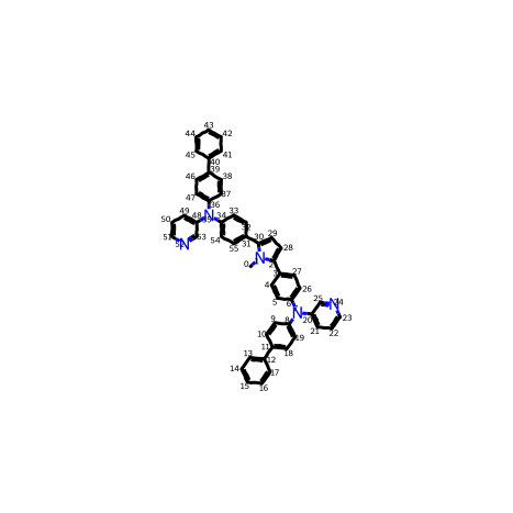 Cn1c(-c2ccc(N(c3ccc(-c4ccccc4)cc3)c3cccnc3)cc2)ccc1-c1ccc(N(c2ccc(-c3ccccc3)cc2)c2cccnc2)cc1